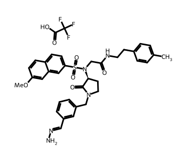 COc1ccc2ccc(S(=O)(=O)N(CC(=O)NCCc3ccc(C)cc3)[C@H]3CCN(Cc4cccc(C=NN)c4)C3=O)cc2c1.O=C(O)C(F)(F)F